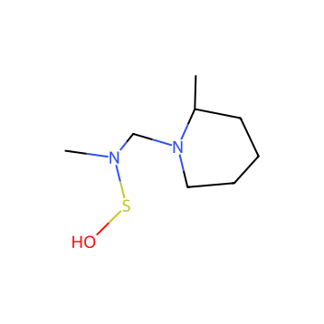 CC1CCCCN1CN(C)SO